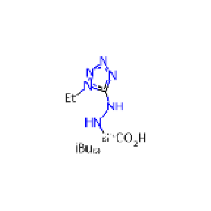 CC[C@H](C)[C@H](NNc1nnnn1CC)C(=O)O